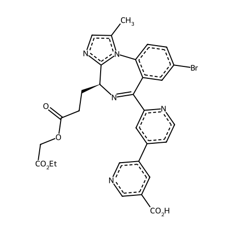 CCOC(=O)COC(=O)CC[C@@H]1N=C(c2cc(-c3cncc(C(=O)O)c3)ccn2)c2cc(Br)ccc2-n2c(C)cnc21